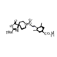 CCCCCCCCCC1=NC2(CCN([S+]([O-])/C=C/c3c(C)cc(C(=O)O)cc3C)CC2)C(=O)N1